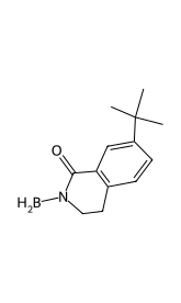 BN1CCc2ccc(C(C)(C)C)cc2C1=O